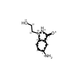 Nc1ccc2c(c1)c(=O)[nH]n2CCO